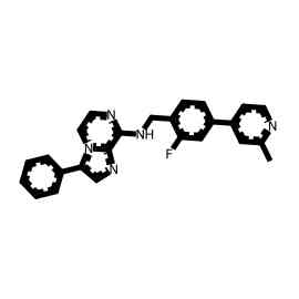 Cc1cc(-c2ccc(CNc3nccn4c(-c5ccccc5)cnc34)c(F)c2)ccn1